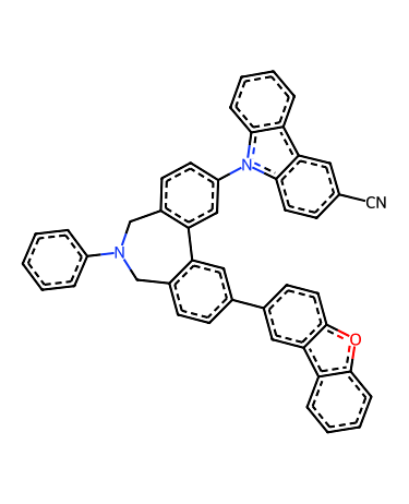 N#Cc1ccc2c(c1)c1ccccc1n2-c1ccc2c(c1)-c1cc(-c3ccc4oc5ccccc5c4c3)ccc1CN(c1ccccc1)C2